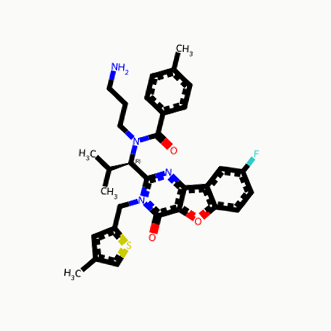 Cc1ccc(C(=O)N(CCCN)[C@@H](c2nc3c(oc4ccc(F)cc43)c(=O)n2Cc2cc(C)cs2)C(C)C)cc1